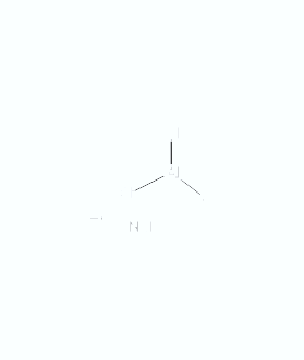 Cl.[Cl][Al]([Cl])[Cl].[NaH]